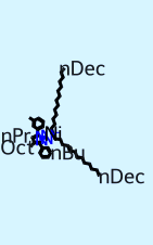 CCCCCCCCC1=C(c2cccc(CCCC)c2)[N+](=[N-])C(c2cccc(C)c2)=C1CCC.CCCCCCCCCCCCCCCCCCCCCC[CH2][Ni][CH2]CCCCCCCCCCCCCCCCCCCCCC